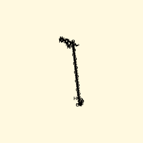 CCCN(OCCOCCOCCOCCOCCOCCOCCOCCOCCOCCOCCOCCNC(=O)CN1C(=O)C=CC1=O)C(=O)C1=Cc2ccc(-c3cncnc3)cc2N=C(N)C1